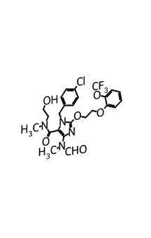 CN(CCO)C(=O)c1c(N(C)C=O)nc(OCCOc2ccccc2OC(F)(F)F)n1Cc1ccc(Cl)cc1